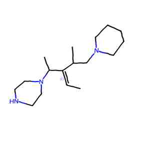 C/C=C(\C(C)CN1CCCCC1)C(C)N1CCNCC1